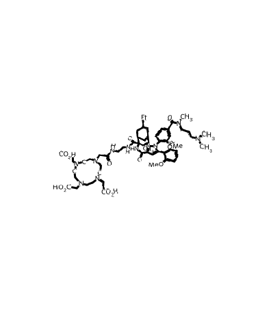 CCC1CC2CC(C)C(NC(=O)c3cc(-c4c(OC)cccc4OC)n(-c4ccc(C(=O)N(C)CCCN(C)C)cc4C(C)C)n3)(C(=O)NCCNC(=O)CN3CCN(CC(=O)O)CCN(CC(=O)O)CCN(CC(=O)O)CC3)C(C1)C2